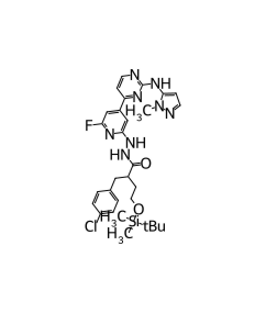 Cn1nccc1Nc1nccc(-c2cc(F)nc(NNC(=O)C(CCO[Si](C)(C)C(C)(C)C)Cc3ccc(Cl)cc3)c2)n1